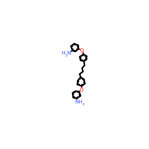 Nc1cccc(Oc2ccc(CCCCc3ccc(Oc4cccc(N)c4)cc3)cc2)c1